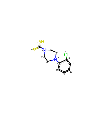 S=C(S)N1CCN(c2ccccc2Cl)CC1